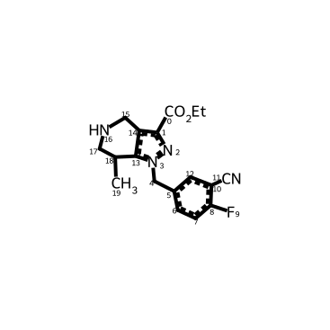 CCOC(=O)c1nn(Cc2ccc(F)c(C#N)c2)c2c1CNCC2C